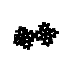 Clc1ccccc1[P+](c1ccccc1Cl)(c1ccccc1Cl)c1ccccc1Cl.c1ccc([B-](c2ccccc2)(c2ccccc2)c2ccccc2)cc1